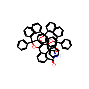 O=C1NC(=O)c2c(OC(c3ccccc3)(c3ccccc3)c3ccccc3)c(OC(c3ccccc3)(c3ccccc3)c3ccccc3)c(OC(c3ccccc3)(c3ccccc3)c3ccccc3)c3cccc1c23